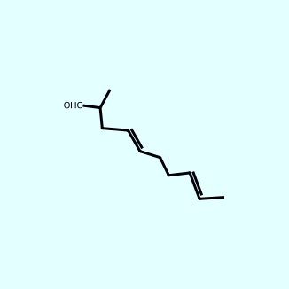 C/C=C/CC/C=C/CC(C)C=O